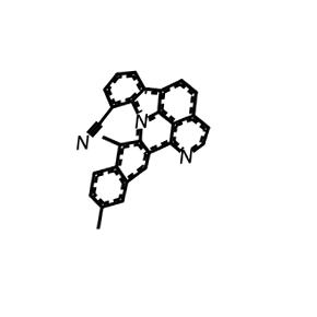 Cc1ccc2c(C)c3c(cc2c1)c1nccc2ccc4c5cccc(C#N)c5n3c4c21